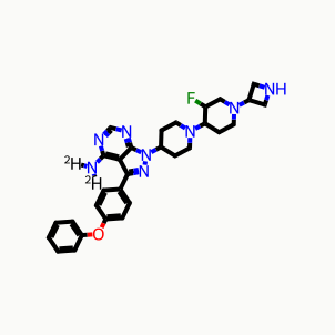 [2H]N([2H])c1ncnc2c1c(-c1ccc(Oc3ccccc3)cc1)nn2C1CCN(C2CCN(C3CNC3)CC2F)CC1